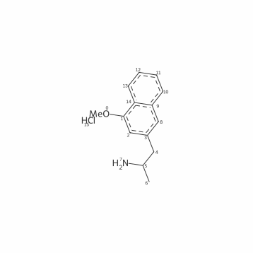 COc1cc(CC(C)N)cc2ccccc12.Cl